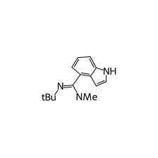 CN/C(=N\C(C)(C)C)c1cccc2[nH]ccc12